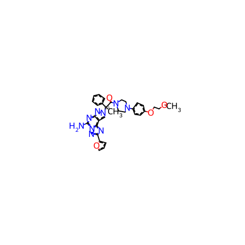 COCCOc1ccc(N2CCN(C(=O)[C@](C)(c3ccccc3)n3cc4c(nc(N)n5nc(-c6ccco6)nc45)n3)CC2)cc1